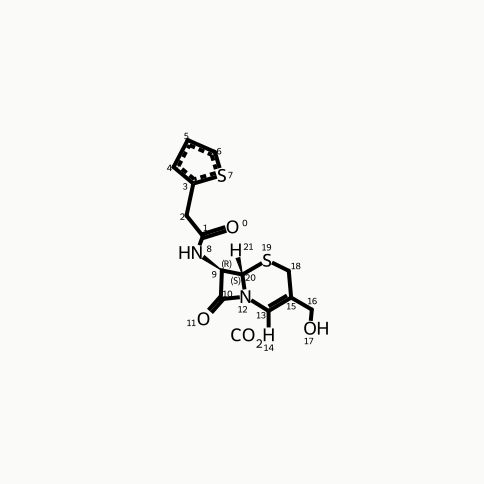 O=C(Cc1cccs1)N[C@@H]1C(=O)N2C(C(=O)O)=C(CO)CS[C@@H]12